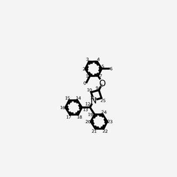 Cc1cccc(C)c1OC1CN(C(c2ccccc2)c2ccccc2)C1